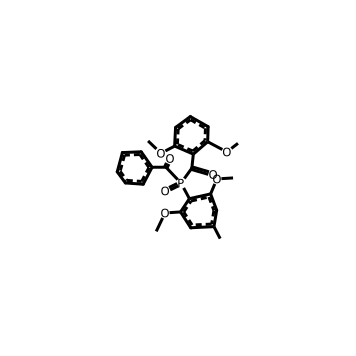 COc1cccc(OC)c1C(=O)P(=O)(C(=O)c1ccccc1)c1c(OC)cc(C)cc1OC